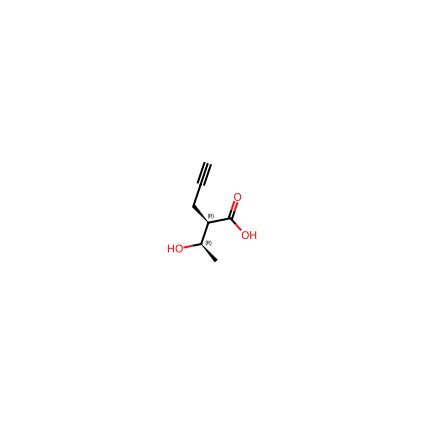 C#CC[C@@H](C(=O)O)[C@@H](C)O